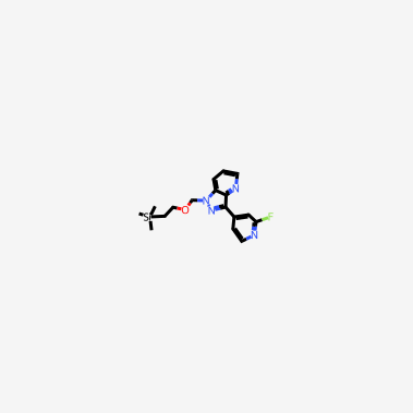 C[Si](C)(C)CCOCn1nc(-c2ccnc(F)c2)c2ncccc21